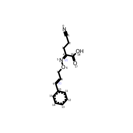 N#CCC/C(=N/OC/C=C/c1ccccc1)C(=O)O